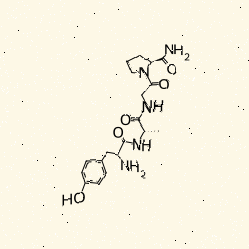 C[C@H](NC(=O)[C@@H](N)Cc1ccc(O)cc1)C(=O)NCC(=O)N1CCC[C@H]1C(N)=O